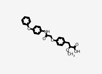 COC(Cc1ccc(OCC(=O)Nc2ccc(Oc3ccccc3)cc2)cc1)C(=O)O